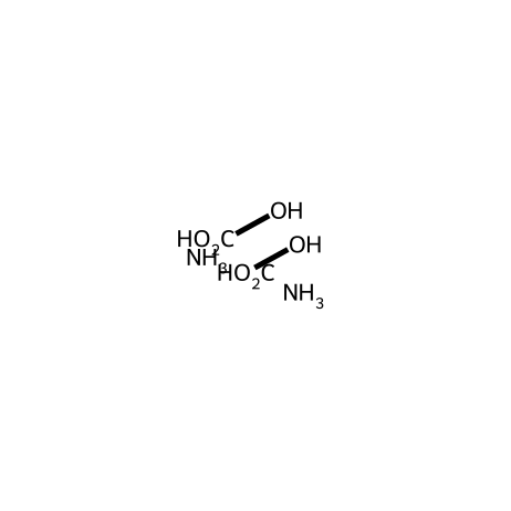 N.N.O=C(O)O.O=C(O)O